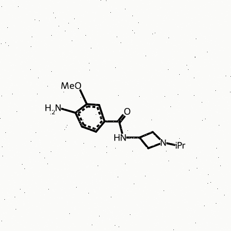 COc1cc(C(=O)NC2CN(C(C)C)C2)ccc1N